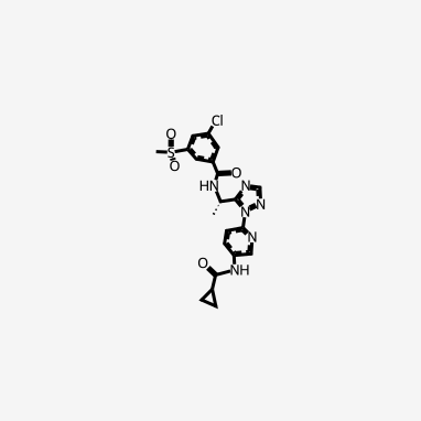 C[C@H](NC(=O)c1cc(Cl)cc(S(C)(=O)=O)c1)c1ncnn1-c1ccc(NC(=O)C2CC2)cn1